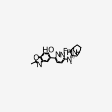 Cc1nc2cc(-c3ccc(N(C)[C@H]4CC5CCC(N5)[C@H]4F)nn3)c(O)cc2o1